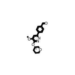 COc1cc(-c2ccc(C=O)cc2)nnc1O[C@H]1CCCOC1